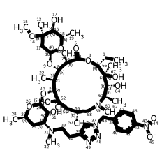 CC[C@H]1OC(=O)[C@H](C)[C@@H](O[C@H]2C[C@@](C)(OC)[C@@H](O)[C@H](C)O2)[C@H](C)[C@@H](O[C@@H]2O[C@H](C)C[C@H](N(C)CCc3cn(Cc4ccc([N+](=O)[O-])cc4)nn3)[C@H]2O)[C@](C)(O)C[C@@H](C)CN(C)[C@H](C)[C@@H](O)[C@]1(C)O